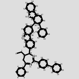 CCC1CC(c2ccccc2)=NC(c2ccc(-c3ccccc3)cc2)=NC1c1ccc2c(c1)oc1ccc(-c3c(-c4ccccc4)ccc4c3sc3ccccc34)cc12